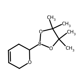 CC1(C)OB(C2CC=CCO2)OC1(C)C